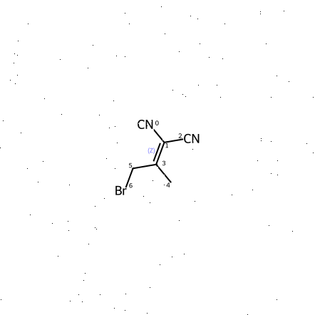 [C-]#[N+]/C(C#N)=C(/C)CBr